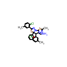 Cc1ccc(Cl)c(C2=NN(c3nnc(C)s3)C(c3ccccc3)(C(CCN)c3cc(C)ccc3Cl)S2)c1